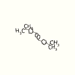 CC(C)c1ccc(COOCc2ccc(C(C)C)cc2)cc1